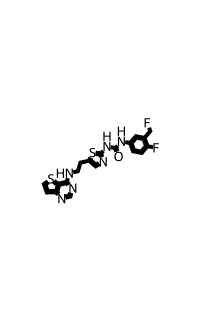 O=C(Nc1ccc(F)c(CF)c1)Nc1ncc(CCNc2ncnc3ccsc23)s1